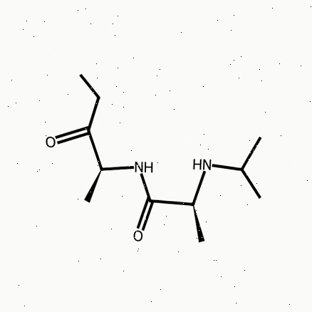 CCC(=O)[C@H](C)NC(=O)[C@H](C)NC(C)C